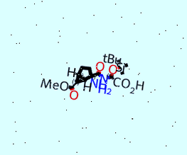 COC(=O)[C@H]1[C@@H]2CC[C@@](N)(C(=O)N[C@@H](O[Si](C)(C)C(C)(C)C)C(=O)O)[C@@H]21